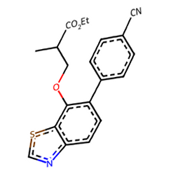 CCOC(=O)C(C)COc1c(-c2ccc(C#N)cc2)ccc2ncsc12